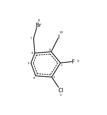 Fc1c(Cl)ccc(CBr)c1I